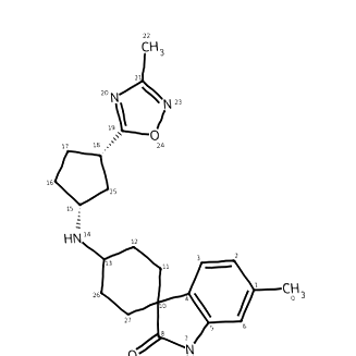 Cc1ccc2c(c1)NC(=O)C21CCC(N[C@@H]2CC[C@H](c3nc(C)no3)C2)CC1